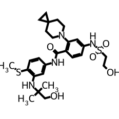 CSc1ccc(NC(=O)c2ccc(NS(=O)(=O)CCO)cc2N2CCC3(CC2)CC3)cc1NC(C)(C)CO